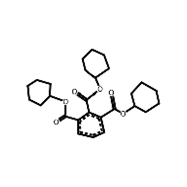 O=C(OC1CCCCC1)c1cccc(C(=O)OC2CCCCC2)c1C(=O)OC1CCCCC1